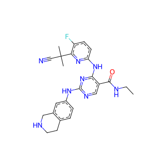 CCNC(=O)c1cnc(Nc2ccc3c(c2)CNCC3)nc1Nc1ccc(F)c(C(C)(C)C#N)n1